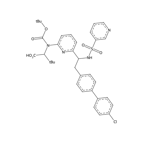 CC(C)(C)OC(=O)N(c1cccc(C(Cc2ccc(-c3ccc(Cl)cc3)cc2)NS(=O)(=O)c2cccnc2)n1)C(C(=O)O)C(C)(C)C